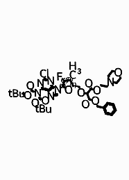 C[C@H]1[C@H](F)[C@H](n2cnc3c(N(C(=O)OC(C)(C)C)C(=O)OC(C)(C)C)nc(Cl)nc32)O[C@@H]1COC(C(=O)OCCN1CCOCC1)C(=O)OCc1ccccc1